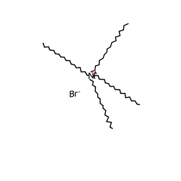 CCCCCCCCCCCCCCCCCC[N+](CCCCCCCCCCCCCCCCCC)(CCCCCCCCCCCCCCCCCC)C(C)(C)CCCCCCCCCCCCCCCCC.[Br-]